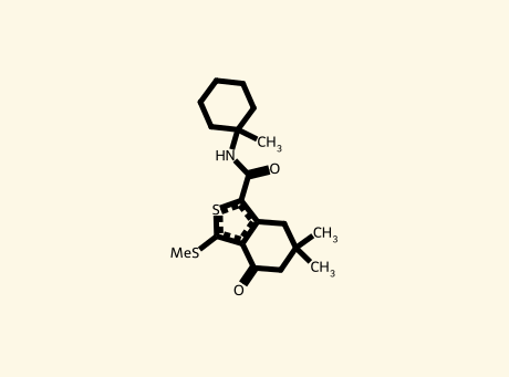 CSc1sc(C(=O)NC2(C)CCCCC2)c2c1C(=O)CC(C)(C)C2